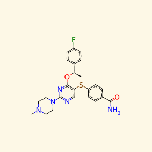 C[C@@H](Oc1nc(N2CCN(C)CC2)ncc1Sc1ccc(C(N)=O)cc1)c1ccc(F)cc1